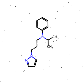 CC(C)N(CCCn1cccn1)c1ccccc1